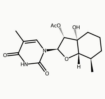 CC(=O)O[C@H]1[C@H](n2cc(C)c(=O)[nH]c2=O)O[C@H]2[C@H](C)CCC[C@@]21O